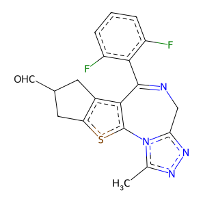 Cc1nnc2n1-c1sc3c(c1C(c1c(F)cccc1F)=NC2)CC(C=O)C3